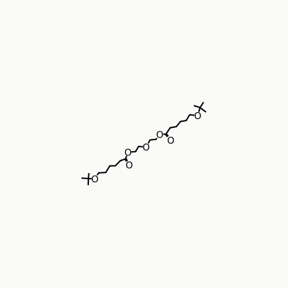 CC(C)(C)OCCCCCC(=O)OCCOCCOC(=O)CCCCCOC(C)(C)C